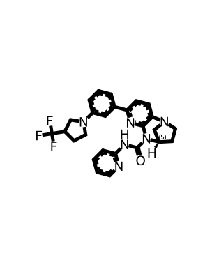 O=C(Nc1ccccn1)N1c2nc(-c3cccc(N4CCC(C(F)(F)F)C4)c3)ccc2N2CC[C@H]1C2